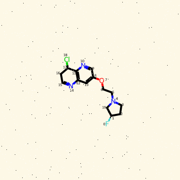 F[C@@H]1CCN(CCOc2cnc3c(c2)N=CCC3Cl)C1